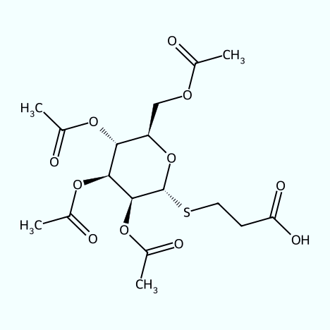 CC(=O)OC[C@H]1O[C@H](SCCC(=O)O)[C@@H](OC(C)=O)[C@@H](OC(C)=O)[C@@H]1OC(C)=O